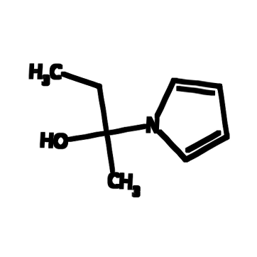 CCC(C)(O)n1cccc1